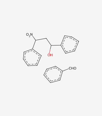 O=Cc1ccccc1.O=[N+]([O-])C(CC(O)c1ccccc1)c1ccccc1